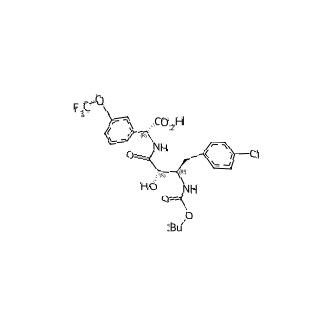 CC(C)(C)OC(=O)N[C@H](Cc1ccc(Cl)cc1)[C@H](O)C(=O)N[C@@H](C(=O)O)c1cccc(OC(F)(F)F)c1